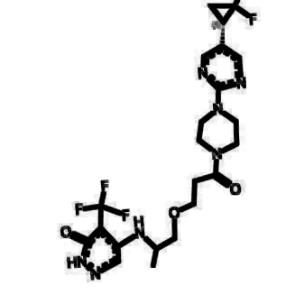 CC(COCCC(=O)N1CCN(c2ncc([C@@H]3CC3(F)F)cn2)CC1)Nc1cn[nH]c(=O)c1C(F)(F)F